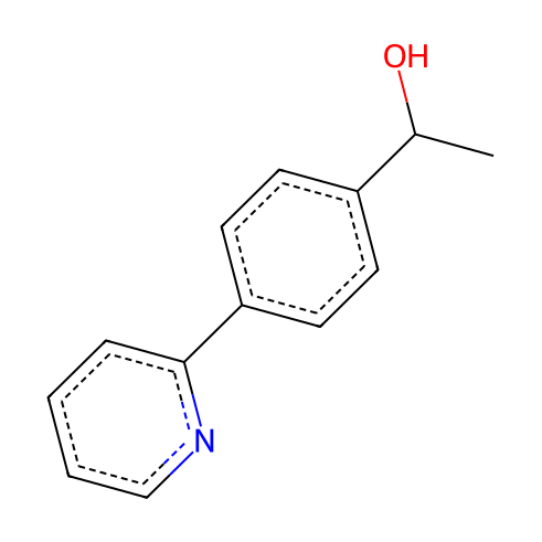 CC(O)c1ccc(-c2ccccn2)cc1